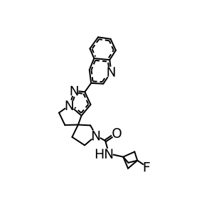 O=C(NC12CC(F)(C1)C2)N1CCC2(CCn3nc(-c4cnc5ccccc5c4)cc32)C1